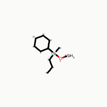 CCC[Si](C)(O[SiH3])C1CCCCC1